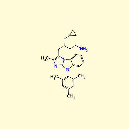 Cc1cc(C)c(-n2c3ccccc3n3c(CC(CCN)CC4CC4)c(C)nc23)c(C)c1